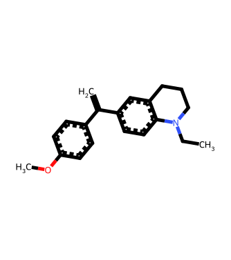 C=C(c1ccc(OC)cc1)c1ccc2c(c1)CCCN2CC